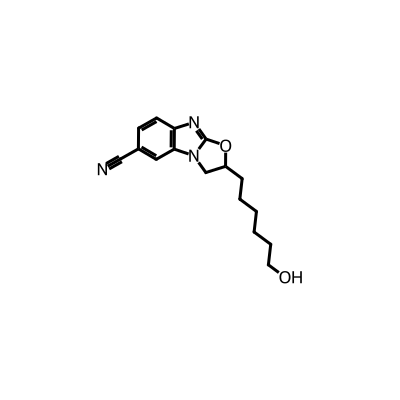 N#Cc1ccc2nc3n(c2c1)CC(CCCCCCO)O3